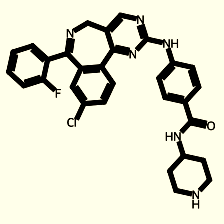 O=C(NC1CCNCC1)c1ccc(Nc2ncc3c(n2)-c2ccc(Cl)cc2C(c2ccccc2F)=NC3)cc1